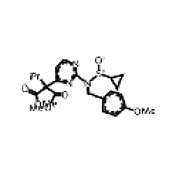 COC(=O)C(C(=O)OC)(c1ccnc(N(Cc2ccc(OC)cc2)[S+]([O-])C2CC2)n1)C(C)C